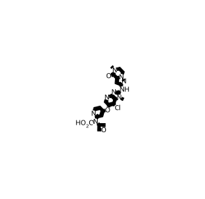 CN1CCn2nc(Nc3nc4ncc(Oc5ccnc(N(C(=O)O)C6COC6)c5)c(Cl)c4n3C)cc2C1=O